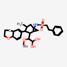 CC1CC2(NS(=O)(=O)CCc3ccccc3)CC2C(C(OC(C)(C)C)C(O)O)C1C1=CC2CCCOC2C=C1